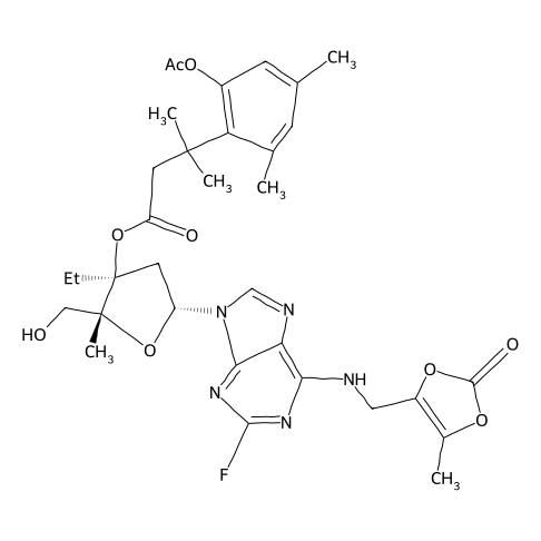 CC[C@]1(OC(=O)CC(C)(C)c2c(C)cc(C)cc2OC(C)=O)C[C@H](n2cnc3c(NCc4oc(=O)oc4C)nc(F)nc32)O[C@]1(C)CO